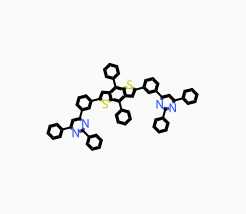 c1ccc(-c2cc(-c3cccc(-c4cc5c(-c6ccccc6)c6sc(-c7cccc(-c8cc(-c9ccccc9)nc(-c9ccccc9)n8)c7)cc6c(-c6ccccc6)c5s4)c3)nc(-c3ccccc3)n2)cc1